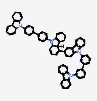 C1=CC2C3=C(C=CCC3)N(c3ccc(-c4ccc(N5C6=C(CCC=C6)[C@@H]6C(c7ccc8c(c7)c7ccccc7n8-c7cccc(-c8cccc(-n9c%10ccccc%10c%10ccccc%109)c8)c7)=CC=CC65)cc4)cc3)C2C=C1